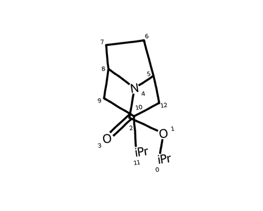 CC(C)OC(=O)N1C2CCC1CC(C(C)C)C2